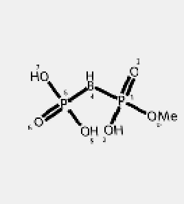 COP(=O)(O)BP(=O)(O)O